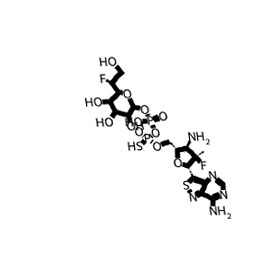 C[C@@]1(F)[C@H](N)[C@@H](COP(=O)(S)OP(=O)(O)OC2OC([C@@H](F)CO)C(O)C(O)C2O)O[C@H]1c1snc2c(N)ncnc12